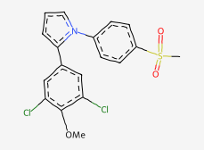 COc1c(Cl)cc(-c2cccn2-c2ccc(S(C)(=O)=O)cc2)cc1Cl